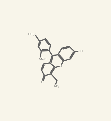 NCc1c2oc3cc(O)ccc3c(-c3ccc(C(=O)O)cc3C(=O)O)c-2ccc1=O